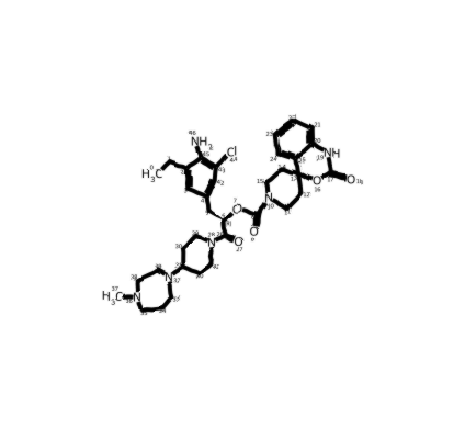 CCc1cc(C[C@@H](OC(=O)N2CCC3(CC2)OC(=O)Nc2ccccc23)C(=O)N2CCC(N3CCCN(C)CC3)CC2)cc(Cl)c1N